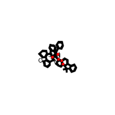 CC1(C)c2ccccc2-c2ccc(-c3nc(-c4cccc5oc6cccc(-c7nc(-c8ccccc8)nc(-c8ccccc8)n7)c6c45)c4sc5ccccc5c4n3)cc21